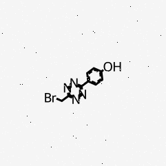 Oc1ccc(-c2nnc(CBr)nn2)cc1